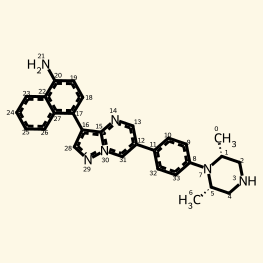 C[C@@H]1CNC[C@H](C)N1c1ccc(-c2cnc3c(-c4ccc(N)c5ccccc45)cnn3c2)cc1